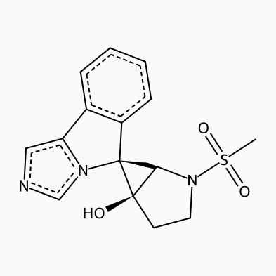 CS(=O)(=O)N1CC[C@@]2(O)C1[C@@]21c2ccccc2-c2cncn21